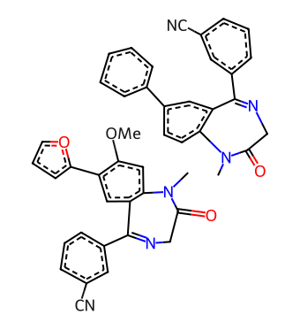 CN1C(=O)CN=C(c2cccc(C#N)c2)c2cc(-c3ccccc3)ccc21.COc1cc2c(cc1-c1ccco1)C(c1cccc(C#N)c1)=NCC(=O)N2C